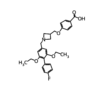 CCOc1cc(CN2CC(COc3ccc(C(=O)O)cc3)C2)cc(OCC)c1-c1ccc(F)cc1